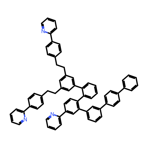 c1ccc(-c2ccc(-c3cccc(-c4cc(-c5ccccn5)ccc4-c4ccccc4-c4cc(CCc5ccc(-c6ccccn6)cc5)cc(CCc5ccc(-c6ccccn6)cc5)c4)c3)cc2)cc1